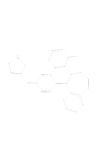 Clc1ccc(C2=C(c3ccc(OC4CCNC4)cc3)c3ccccc3CCC2)c(Cl)c1